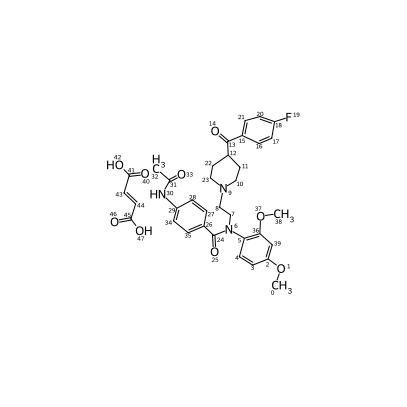 COc1ccc(N(CCN2CCC(C(=O)c3ccc(F)cc3)CC2)C(=O)c2ccc(NC(C)=O)cc2)c(OC)c1.O=C(O)C=CC(=O)O